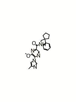 COc1nc(C(=O)NCC2(c3ccccc3)CCCC2)cnc1-n1cnc(C)c1